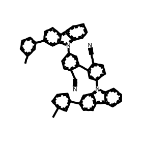 Cc1cccc(-c2ccc3c4ccccc4n(-c4ccc(C#N)c(-c5cc(-n6c7ccccc7c7ccc(-c8cccc(C)c8)cc76)ccc5C#N)c4)c3c2)c1